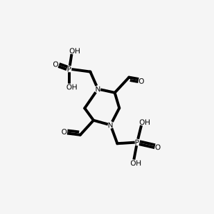 O=CC1CN(CP(=O)(O)O)C(C=O)CN1CP(=O)(O)O